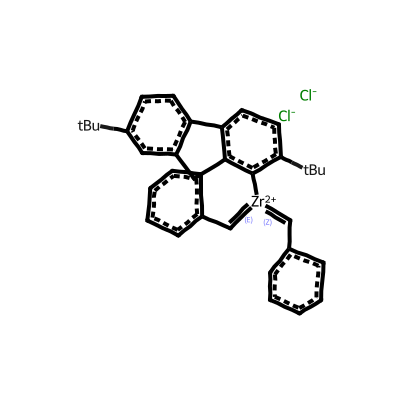 CC(C)(C)c1ccc2c(c1)Cc1c-2ccc(C(C)(C)C)[c]1/[Zr+2](=[CH]/c1ccccc1)=[CH]\c1ccccc1.[Cl-].[Cl-]